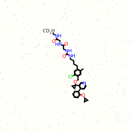 Cc1cc(COC2(c3cnccc3-c3ccccc3OC3CC3)CC2)c(Cl)cc1CCCCNC(=O)NCC(=O)NCC(=O)NCC(=O)O